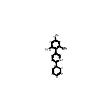 CC(C)c1cc(C(C)C)c(-c2ccc(C3C=CC=CC3)nc2)c(C(C)C)c1